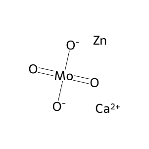 [Ca+2].[O]=[Mo](=[O])([O-])[O-].[Zn]